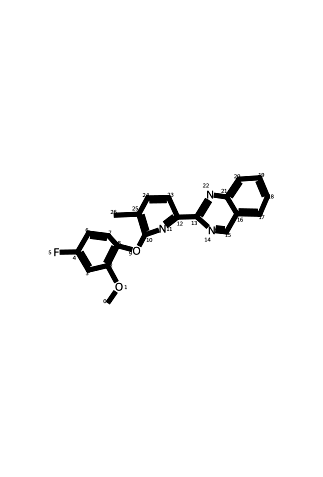 COc1cc(F)ccc1Oc1nc(-c2ncc3ccccc3n2)ccc1C